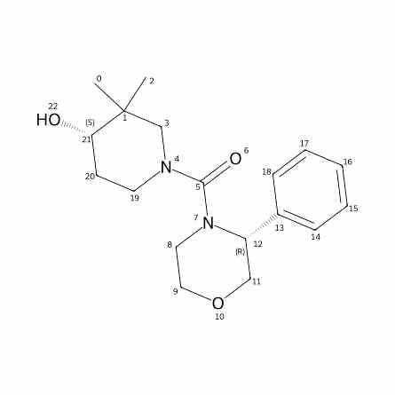 CC1(C)CN(C(=O)N2CCOC[C@H]2c2ccccc2)CC[C@@H]1O